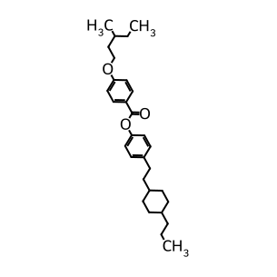 CCCC1CCC(CCc2ccc(OC(=O)c3ccc(OCCC(C)CC)cc3)cc2)CC1